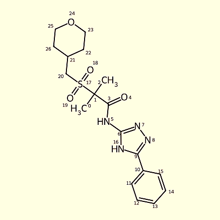 CC(C)(C(=O)Nc1nnc(-c2ccccc2)[nH]1)S(=O)(=O)CC1CCOCC1